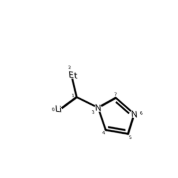 [Li][CH](CC)n1ccnc1